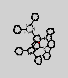 C1=CC2c3ccc4c5ccccc5n(-c5cc(C6=NC(c7ccccc7)=NC(c7ccccc7)N6)cc(-c6cc(-c7ccccc7)nc(-c7ccccc7)c6)c5)c4c3N(c3ccccc3)C2C=C1